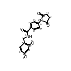 O=C(NCc1ccc(Cl)cc1Cl)c1ccc(N2C(=O)CCC2=O)cc1